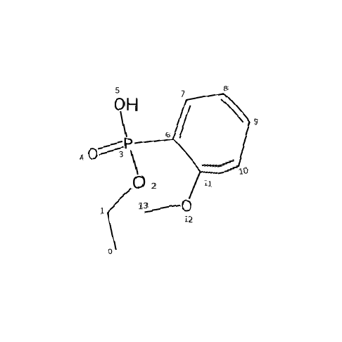 CCOP(=O)(O)c1ccccc1OC